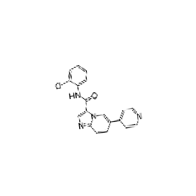 O=C(Nc1ccccc1Cl)c1cnc2ccc(-c3ccncc3)cn12